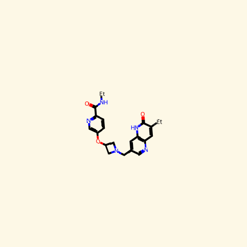 CCNC(=O)c1ccc(OC2CN(Cc3cnc4cc(CC)c(=O)[nH]c4c3)C2)cn1